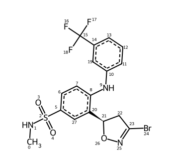 CNS(=O)(=O)c1ccc(Nc2cccc(C(F)(F)F)c2)c([C@H]2CC(Br)=NO2)c1